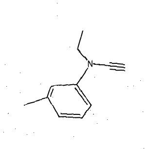 C#CN(CC)c1cccc(C)c1